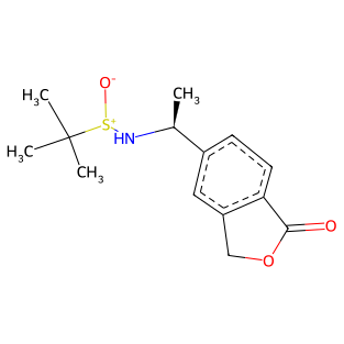 C[C@H](N[S+]([O-])C(C)(C)C)c1ccc2c(c1)COC2=O